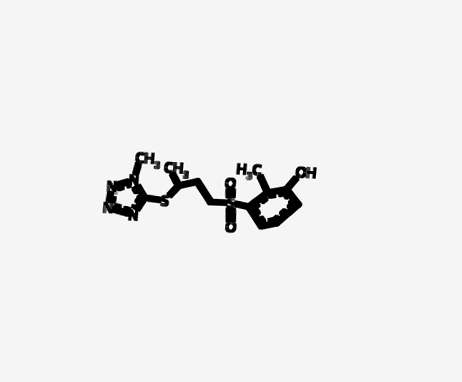 Cc1c(O)cccc1S(=O)(=O)CCC(C)Sc1nnnn1C